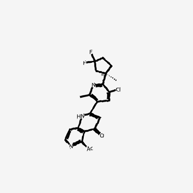 CC(=O)c1nccc2[nH]c(-c3cc(Cl)c([C@]4(C)CCC(F)(F)C4)nc3C)cc(=O)c12